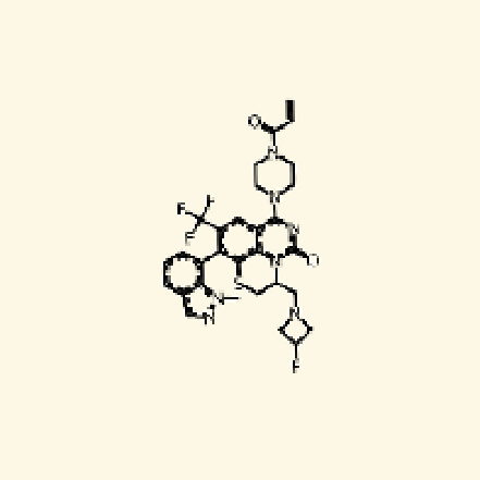 C=CC(=O)N1CCN(c2nc(=O)n3c4c(c(-c5cccc6cnn(C)c56)c(C(F)(F)F)cc24)SCC3CN2CC(F)C2)CC1